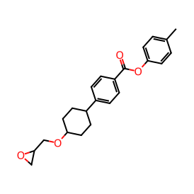 Cc1ccc(OC(=O)c2ccc(C3CCC(OCC4CO4)CC3)cc2)cc1